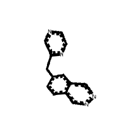 c1cnc(Cc2ccc3cnncc3c2)cn1